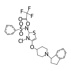 O=C(ON(C1SC=C(OC2CCN(C3CCc4ccccc43)CC2)N1Cl)S(=O)(=O)c1ccccc1)C(F)(F)F